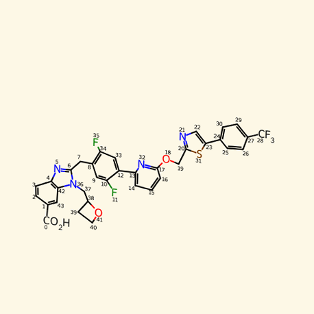 O=C(O)c1ccc2nc(Cc3cc(F)c(-c4cccc(OCc5ncc(-c6ccc(C(F)(F)F)cc6)s5)n4)cc3F)n(CC3CCO3)c2c1